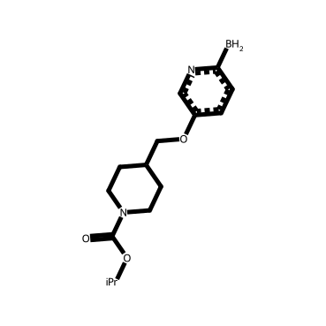 Bc1ccc(OCC2CCN(C(=O)OC(C)C)CC2)cn1